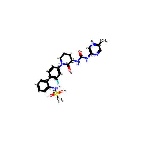 Cc1cnc(NC(=O)N[C@@H]2CCCN(c3ccc(-c4ccccc4NS(C)(=O)=O)c(F)c3)C2=O)cn1